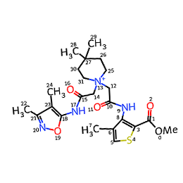 COC(=O)c1scc(C)c1NC(=O)C[N+]1(CC(=O)Nc2onc(C)c2C)CCC(C)(C)CC1